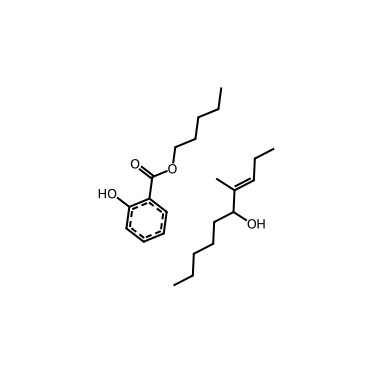 CC/C=C(\C)C(O)CCCCC.CCCCCOC(=O)c1ccccc1O